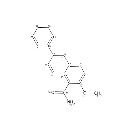 COc1ccc2cc(-c3ccccc3)ccc2c1C(N)=O